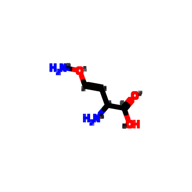 NOC=CC(N)C(=O)O